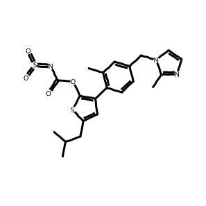 Cc1cc(Cn2ccnc2C)ccc1-c1cc(CC(C)C)sc1OC(=O)N=S(=O)=O